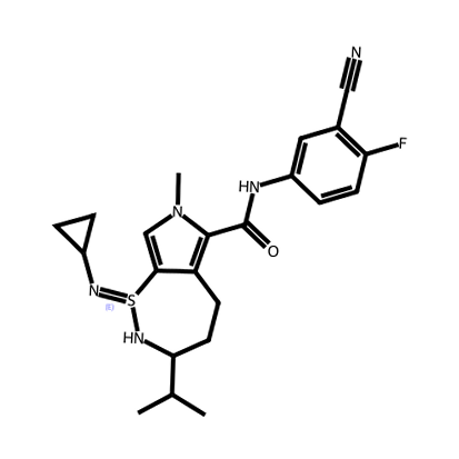 CC(C)C1CCc2c(cn(C)c2C(=O)Nc2ccc(F)c(C#N)c2)/S(=N\C2CC2)N1